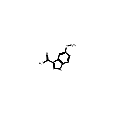 COc1ccc2c(c1)C(C(N)=O)=C[N]2